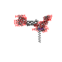 CCCCCCCCCCCC(=O)N[C@H]1C(CO)O[C@@H](OC(=O)[C@]23CCC(C)(C)CC2C2=CCC4C5(C)CC[C@H](O[C@@H]6OC[C@@H](O)[C@H](O[C@@H]7OC[C@@H](O)[C@H](O)C7O)C6O[C@@H]6OC(CO)[C@H](O)[C@H](O)C6O)[C@](C)(C=O)[C@@H]5CCC4(C)[C@]2(C)CC3O)[C@H](O[C@@H]2OC(C)[C@H](O[C@@H]3OC[C@@H](O)C(O[C@@H]4OC[C@@](O)(CO)C4O)[C@H]3O)C(O)[C@@H]2O)C1O[C@@H]1OC(C)[C@H](O)[C@H](O)C1O